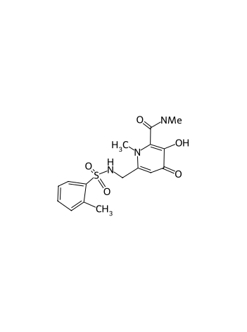 CNC(=O)c1c(O)c(=O)cc(CNS(=O)(=O)c2ccccc2C)n1C